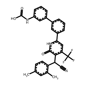 Cc1ccc(C(C#N)c2c(C(F)(F)F)cc(-c3cccc(-c4cccc(NC(=O)O)c4)c3)[nH]c2=O)c(C)c1